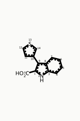 O=C(O)c1[nH]c2ccccc2c1-c1ccsc1